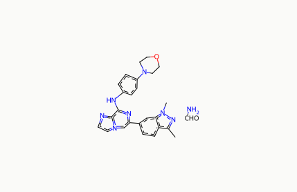 Cc1nn(C)c2cc(-c3cn4ccnc4c(Nc4ccc(N5CCOCC5)cc4)n3)ccc12.NC=O